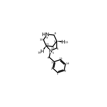 c1ccc(CN2C[C@H]3CNC[C@@H]2C3)cc1